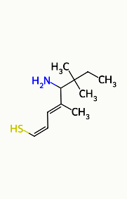 CCC(C)(C)C(N)/C(C)=C/C=C\S